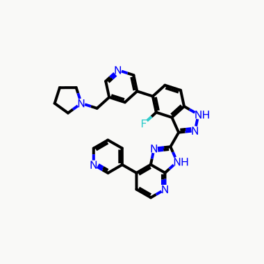 Fc1c(-c2cncc(CN3CCCC3)c2)ccc2[nH]nc(-c3nc4c(-c5cccnc5)ccnc4[nH]3)c12